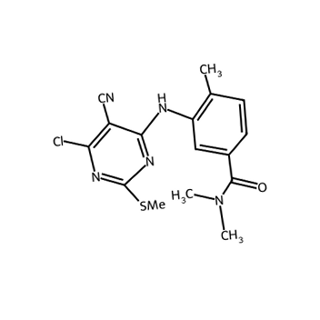 CSc1nc(Cl)c(C#N)c(Nc2cc(C(=O)N(C)C)ccc2C)n1